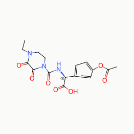 CCN1CCN(C(=O)N[C@H](C(=O)O)c2ccc(OC(C)=O)cc2)C(=O)C1=O